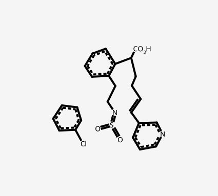 Clc1ccccc1.O=C(O)C(CCC=Cc1cccnc1)c1ccccc1CCN=S(=O)=O